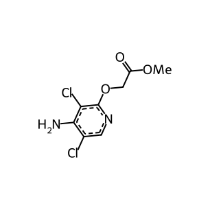 COC(=O)COc1ncc(Cl)c(N)c1Cl